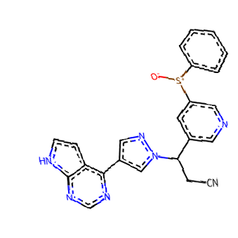 N#CCC(c1cncc([S+]([O-])c2ccccc2)c1)n1cc(-c2ncnc3[nH]ccc23)cn1